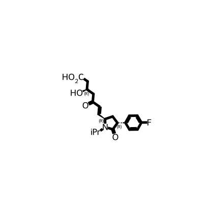 CC(C)N1C(=O)[C@@H](c2ccc(F)cc2)C[C@@H]1C=CC(=O)C[C@@H](O)CC(=O)O